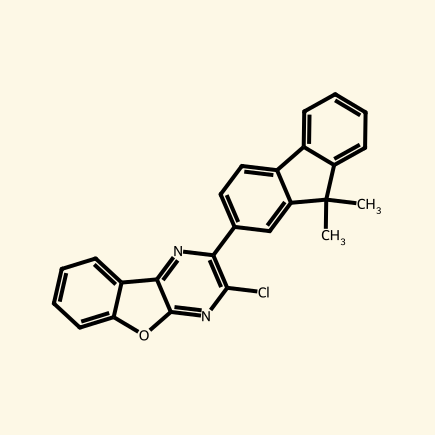 CC1(C)c2ccccc2-c2ccc(-c3nc4c(nc3Cl)oc3ccccc34)cc21